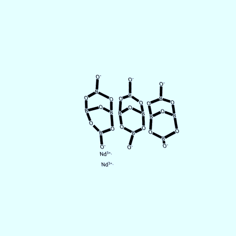 [Nd+3].[Nd+3].[O-]B1OB2OB([O-])OB(O1)O2.[O-]B1OB2OB([O-])OB(O1)O2.[O-]B1OB2OB([O-])OB(O1)O2